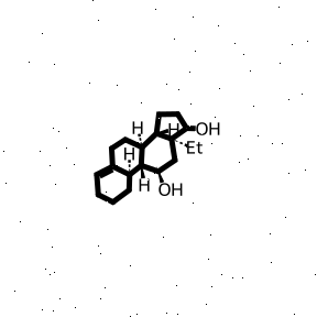 CC[C@]12C[C@@H](O)[C@H]3[C@@H](CCC4=CCCC[C@@H]43)[C@@H]1CCC2O